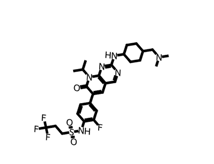 CC(C)n1c(=O)c(-c2ccc(NS(=O)(=O)CCC(F)(F)F)c(F)c2)cc2cnc(NC3CCC(CN(C)C)CC3)nc21